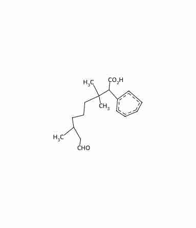 CC(CC=O)CCCC(C)(C)C(C(=O)O)c1ccccc1